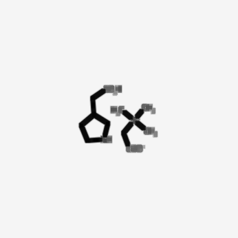 C[N+](C)(C)CC(=O)[O-].O=S(=O)(O)CC1CCNC1